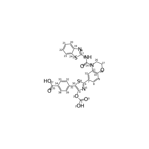 O=C(O)Oc1nc(-c2ccc3c(c2)N(C(=O)Nc2nc4ccccc4s2)CCO3)sc1-c1ccc(C(=O)O)cc1